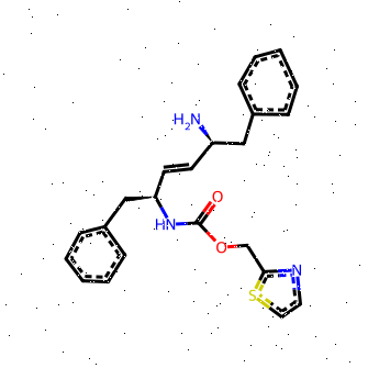 N[C@H](/C=C/[C@H](Cc1ccccc1)NC(=O)OCc1nccs1)Cc1ccccc1